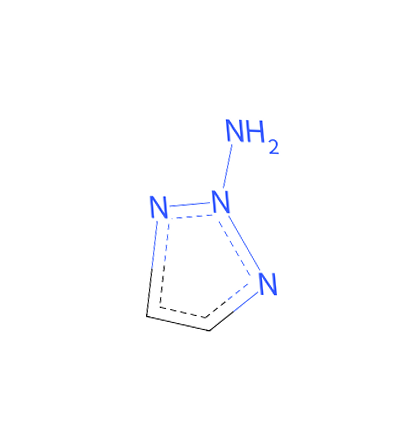 Nn1nccn1